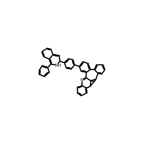 C1=c2ccccc2=C(c2ccccc2)NC1c1ccc(-c2ccc3c(c2)C2=Nc4ccccc4C4C2=C4c2ccccc2-3)cc1